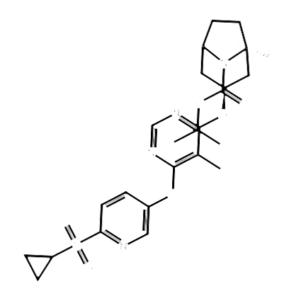 Cc1c(Oc2ccc(S(=O)(=O)C3CC3)nc2)ncnc1O[C@H]1CC2CC[C@@H](C1)N2C(=O)OC(C)C